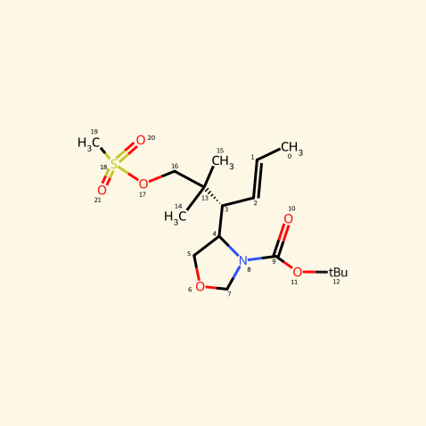 CC=C[C@H](C1COCN1C(=O)OC(C)(C)C)C(C)(C)COS(C)(=O)=O